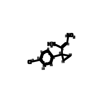 N/C(=C\[N+](=O)[O-])C1(c2ccc(Cl)nc2)CC1